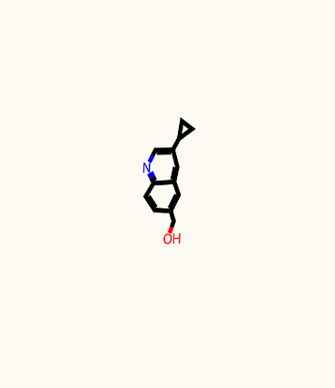 OCc1ccc2ncc(C3CC3)cc2c1